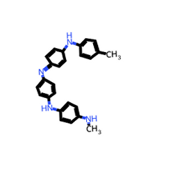 CNc1ccc(Nc2ccc(N=C3C=CC(Nc4ccc(C)cc4)C=C3)cc2)cc1